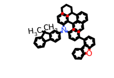 CC1(C)c2ccccc2-c2ccc(N(c3ccc(-c4cccc5oc6ccccc6c45)cc3)c3ccccc3-c3cccc4cccc(C5CCCCC5)c34)cc21